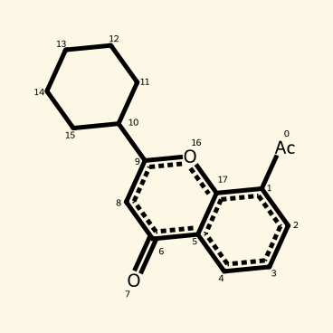 CC(=O)c1cccc2c(=O)cc(C3CCCCC3)oc12